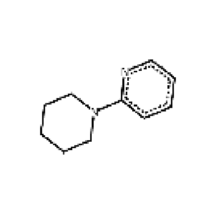 [CH]1CCCN(c2ccccn2)C1